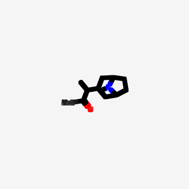 COC(=O)C(C)C1CC2CCC(C1)N2C